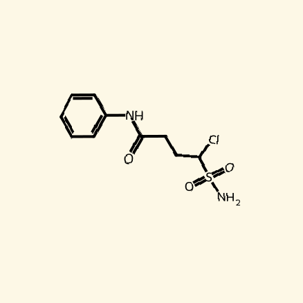 NS(=O)(=O)C(Cl)CCC(=O)Nc1ccccc1